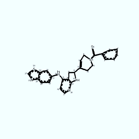 O=C(c1ccccc1)N1CC=C(C2Cc3c(Nc4ccc5ncsc5c4)ccnc3N2)CC1